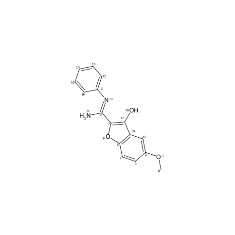 COc1ccc2oc(C(N)=Nc3ccccc3)c(O)c2c1